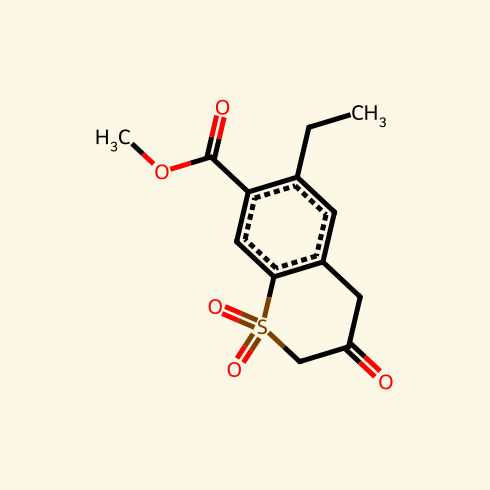 CCc1cc2c(cc1C(=O)OC)S(=O)(=O)CC(=O)C2